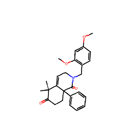 COc1ccc(CN2CC=C3C(C)(C)C(=O)CCC3(c3ccccc3)C2=O)c(OC)c1